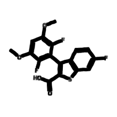 COc1cc(OC)c(F)c(-c2c(C(=O)O)sc3cc(F)ccc23)c1F